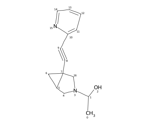 CC(O)N1CC2CC2(C#Cc2ccccn2)C1